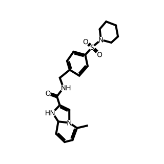 CC1=CC=CC2NC(C(=O)NCc3ccc(S(=O)(=O)N4CCCCC4)cc3)=CN12